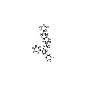 O=C(Cn1nc(-c2ccccc2)cc1-c1ccccc1)N1CCc2nc(-c3ccccc3)ncc2C1